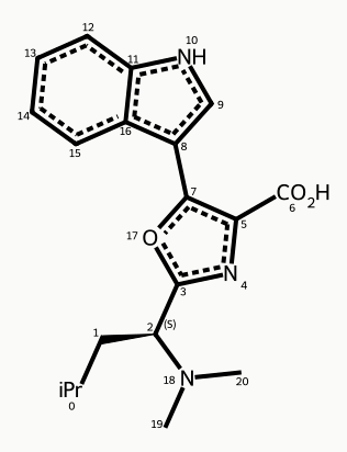 CC(C)C[C@@H](c1nc(C(=O)O)c(-c2c[nH]c3ccccc23)o1)N(C)C